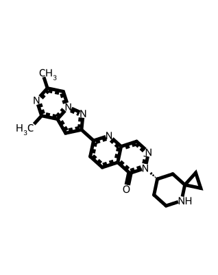 Cc1cn2nc(-c3ccc4c(=O)n([C@H]5CCNC6(CC6)C5)ncc4n3)cc2c(C)n1